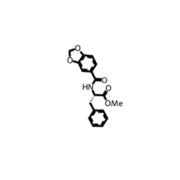 COC(=O)[C@H](Cc1ccccc1)NC(=O)c1ccc2c(c1)OCO2